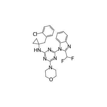 FC(F)c1nc2ccccc2n1-c1nc(NC2(Cc3ccccc3Cl)CC2)nc(N2CCOCC2)n1